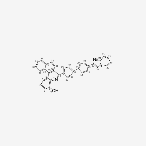 Oc1cccc2c1nc(-c1ccc(-c3ccc(-c4cn5ccccc5n4)cc3)cc1)c1ccc3ccccc3c12